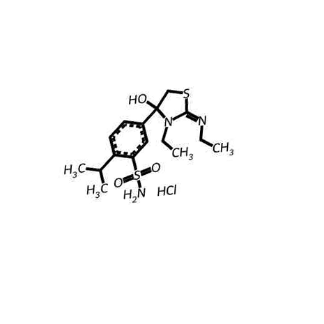 CCN=C1SCC(O)(c2ccc(C(C)C)c(S(N)(=O)=O)c2)N1CC.Cl